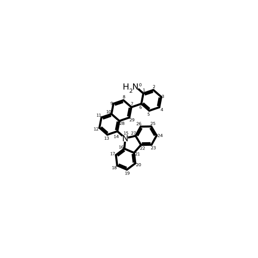 Nc1ccccc1-c1ccc2cccc(-n3c4ccccc4c4ccccc43)c2c1